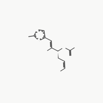 C/C=C\C[C@H](OC(C)=O)/C(C)=C/c1csc(C)n1